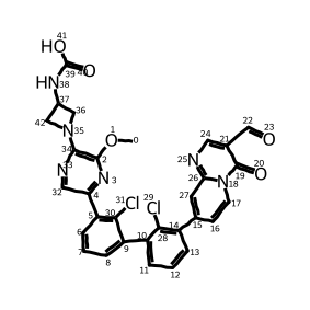 COc1nc(-c2cccc(-c3cccc(-c4ccn5c(=O)c(C=O)cnc5c4)c3Cl)c2Cl)cnc1N1CC(NC(=O)O)C1